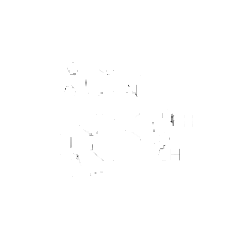 COc1ccc2c(c1OC)CN1CCc3cc4c(cc3C1C2CCc1cccc2ccccc12)OCO4